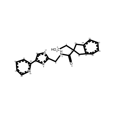 O=C(O)CC1(C(=O)NCc2nc(-c3ccccn3)cs2)Cc2ccccc2C1